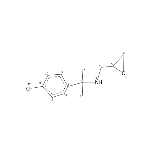 CC(C)(NCC1CO1)c1ccc(Cl)cc1